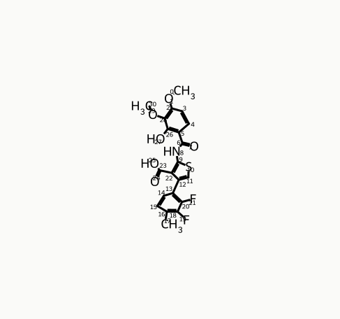 COc1ccc(C(=O)Nc2scc(-c3ccc(C)c(F)c3F)c2C(=O)O)c(O)c1OC